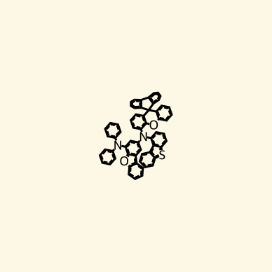 c1ccc(N(c2ccccc2)c2cc(N(c3cccc4c3Oc3ccccc3C43c4ccccc4-c4ccccc43)c3cccc4sc5ccccc5c34)cc3c2oc2ccccc23)cc1